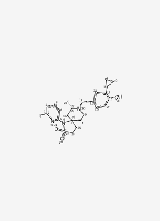 Cc1cncc(N2[C@@]3(CCN(Cc4ccc(O)c(C5CC5)c4)[C@@H](C)C3)CCS2(=O)=O)n1